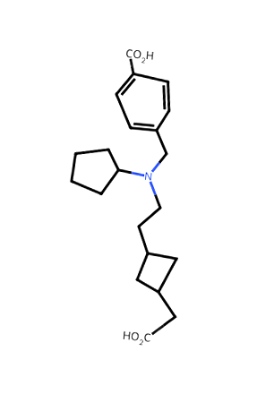 O=C(O)CC1CC(CCN(Cc2ccc(C(=O)O)cc2)C2CCCC2)C1